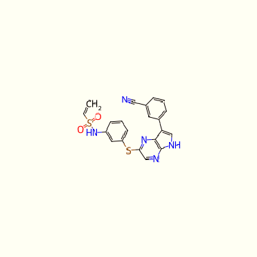 C=CS(=O)(=O)Nc1cccc(Sc2cnc3[nH]cc(-c4cccc(C#N)c4)c3n2)c1